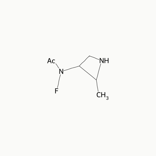 CC(=O)N(F)C1CNC1C